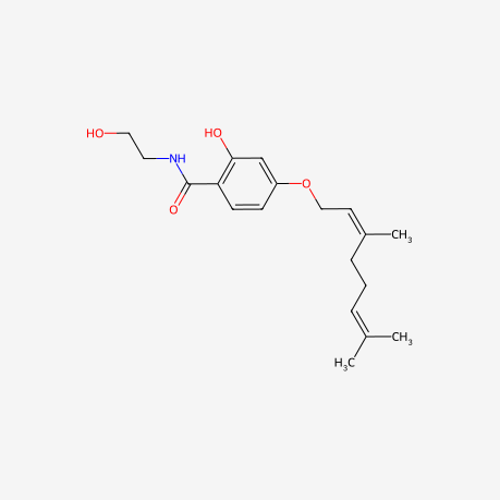 CC(C)=CCCC(C)=CCOc1ccc(C(=O)NCCO)c(O)c1